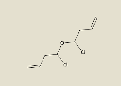 C=CCC(Cl)OC(Cl)CC=C